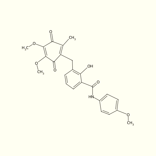 COC1=C(OC)C(=O)C(Cc2cccc(C(=O)Nc3ccc(OC)cc3)c2O)=C(C)C1=O